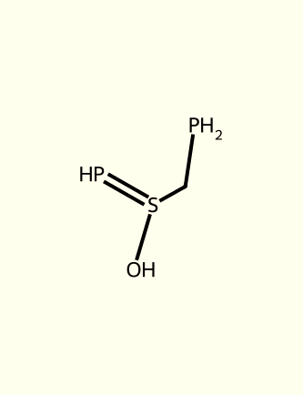 OS(=P)CP